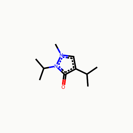 CC(C)c1cn(C)n(C(C)C)c1=O